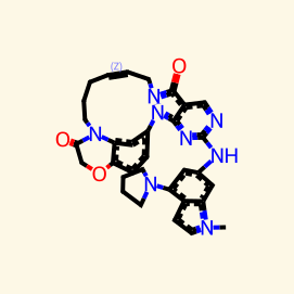 Cn1ccc2c(N3CCCC3)cc(Nc3ncc4c(=O)n5n(c4n3)-c3ccc4c(c3)N(CCC/C=C\C5)C(=O)CO4)cc21